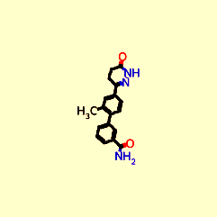 Cc1cc(C2=NNC(=O)CC2)ccc1-c1cccc(C(N)=O)c1